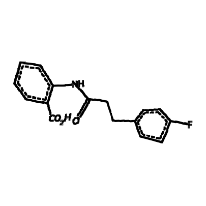 O=C(CCc1ccc(F)cc1)Nc1ccccc1C(=O)O